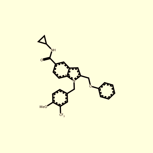 COc1ccc(Cn2c(COc3ccccc3)cc3cc(C(=O)NC4CC4)ccc32)cc1C(F)(F)F